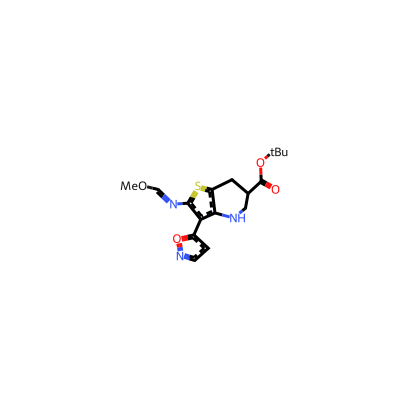 COC=Nc1sc2c(c1-c1ccno1)NCC(C(=O)OC(C)(C)C)C2